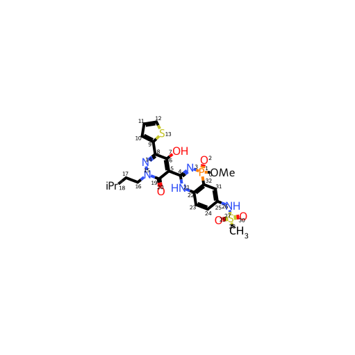 COP1(=O)N=C(c2c(O)c(-c3cccs3)nn(CCC(C)C)c2=O)Nc2ccc(NS(C)(=O)=O)cc21